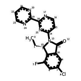 CC[C@H]1c2c(F)cc(Cl)cc2C(=O)N1c1ccnc(-c2ncccn2)n1